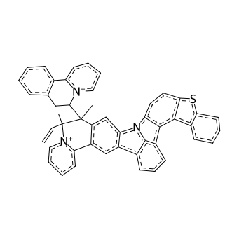 C=CC1(C)[n+]2ccccc2-c2cc3c4cccc5c6c7c(ccc6n(c3cc2C1(C)C1Cc2ccccc2-c2cccc[n+]21)c45)sc1ccccc17